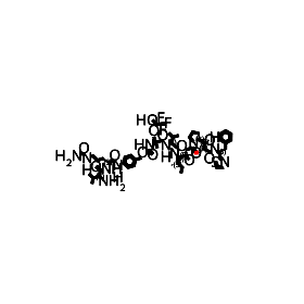 CC[C@H](C)[C@@H]([C@@H](CC(=O)N1CCC[C@H]1[C@H](OC)[C@@H](C)C(=O)N[C@@H](Cc1ccccc1)c1nccs1)OC)N(C)C(=O)[C@@H](NC(=O)C(C)(C)NC(=O)OCc1ccc(NC(=O)[C@H](CCCNC(N)=O)NC(=O)[C@@H](N)C(C)C)cc1)C(C)C.O=C(O)C(F)(F)F